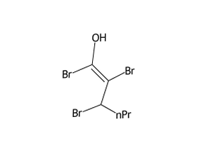 CCCC(Br)C(Br)=C(O)Br